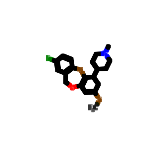 CN1CCC(C2CC(SC(F)(F)F)=CC3=C2Sc2ccc(F)cc2CO3)CC1